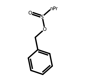 CCCS(=O)OCc1ccccc1